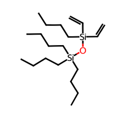 C=C[Si](C=C)(CCCC)O[Si](CCCC)(CCCC)CCCC